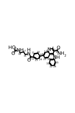 NC(=O)c1cnc2cc(-c3ccc(C(=O)NCCCNC(=O)O)cc3)ccc2c1Nc1ccccc1